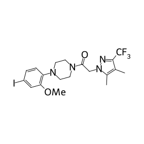 COc1cc(I)ccc1N1CCN(C(=O)Cn2nc(C(F)(F)F)c(C)c2C)CC1